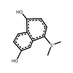 C[S+](C)c1ccc(O)c2ccc(O)cc12